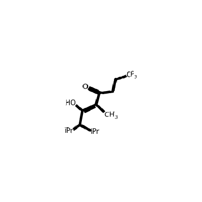 C/C(C(=O)CCC(F)(F)F)=C(/O)C(C(C)C)C(C)C